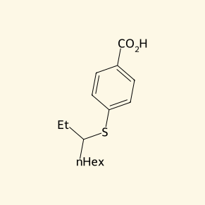 CCCCCCC(CC)Sc1ccc(C(=O)O)cc1